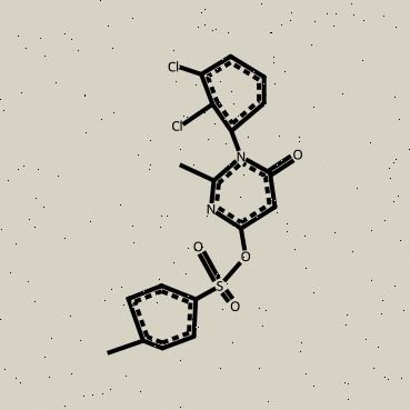 Cc1ccc(S(=O)(=O)Oc2cc(=O)n(-c3cccc(Cl)c3Cl)c(C)n2)cc1